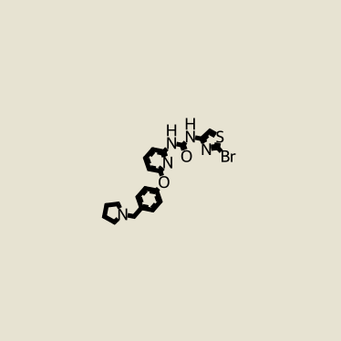 O=C(Nc1cccc(Oc2ccc(CN3CCCC3)cc2)n1)Nc1csc(Br)n1